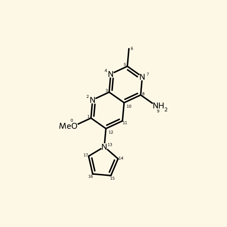 COc1nc2nc(C)nc(N)c2cc1-n1cccc1